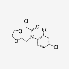 CCc1cc(Cl)ccc1N(CC1OCCO1)C(=O)CCl